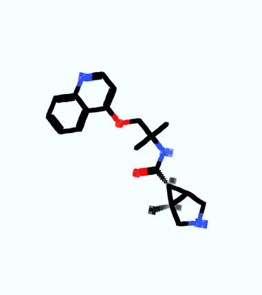 CC(C)(COc1ccnc2ccccc12)NC(=O)[C@@H]1C2CNC[C@H]21